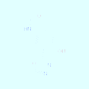 CC(=O)Nc1ccc(O)c(-c2nnco2)c1